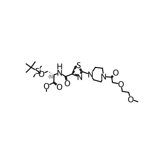 COCCOCC(=O)N1CCN(c2nc(C(=O)N[C@@H](CO[Si](C)(C)C(C)(C)C)C(=O)OC)cs2)CC1